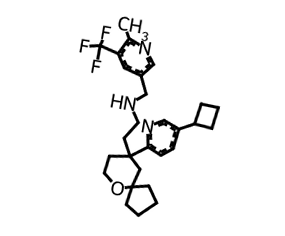 Cc1ncc(CNCCC2(c3ccc(C4CCC4)cn3)CCOC3(CCCC3)C2)cc1C(F)(F)F